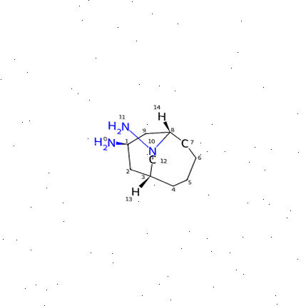 N[C@@H]1C[C@H]2CCCC[C@@H](C1)N(N)C2